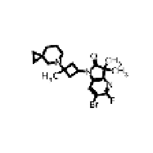 CC1(C)C(=O)N(C2CC(C)(N3CCCC4(CC4)C3)C2)c2cc(Br)c(F)nc21